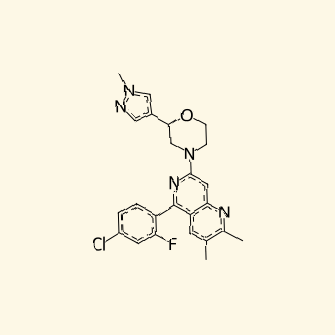 Cc1cc2c(-c3ccc(Cl)cc3F)nc(N3CCOC(c4cnn(C)c4)C3)cc2nc1C